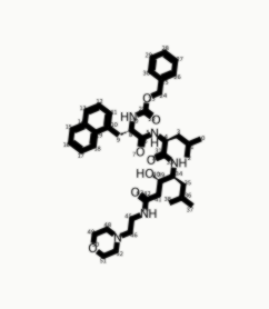 CC(C)C[C@H](NC(=O)[C@H](Cc1cccc2ccccc12)NC(=O)OCc1ccccc1)C(=O)N[C@@H](CC(C)C)[C@@H](O)CC(=O)NCCN1CCOCC1